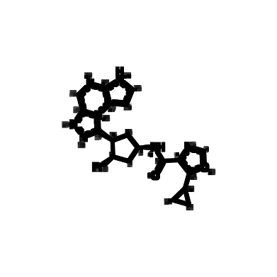 CC[C@@H]1C[C@H](NC(=O)c2ncoc2C2CC2)C[C@@H]1c1nnc2cnc3[nH]ccc3n12